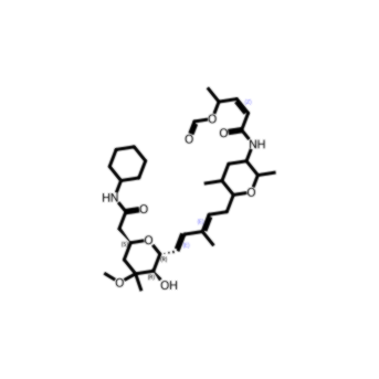 COC1(C)C[C@@H](CC(=O)NC2CCCCC2)O[C@H](/C=C/C(C)=C/CC2OC(C)C(NC(=O)/C=C\C(C)OC=O)CC2C)[C@H]1O